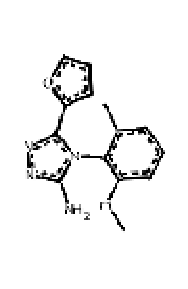 COc1cccc(C)c1-n1c(N)nnc1-c1ccco1